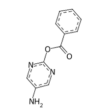 Nc1cnc(OC(=O)c2ccccc2)nc1